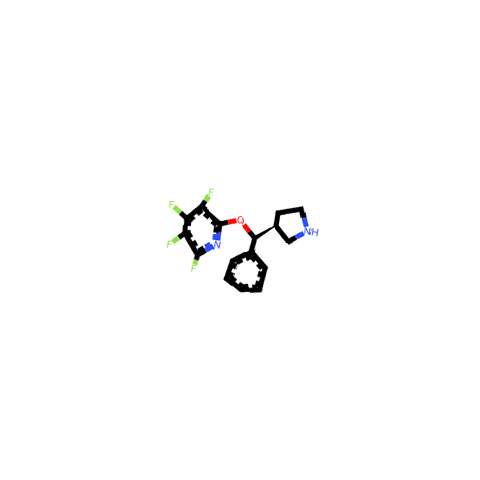 Fc1nc(OC(c2ccccc2)[C@H]2CCNC2)c(F)c(F)c1F